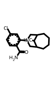 CC1C2CCCCC1CN(c1cc(Cl)ccc1C(N)=O)C2